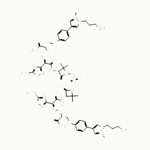 C[n+]1cc(-c2ccc(OC[C@H](O/N=C(\C(=O)N[C@@H]3C(=O)N(OS(=O)(=O)ON4C(=O)[C@@H](NC(=O)/C(=N\O[C@@H](COc5ccc(-c6cn(CCCN)[n+](C)c6)cc5)C(=O)O)c5nsc(N)n5)C4(C)C)C3(C)C)c3nsc(N)n3)C(=O)O)cc2)cn1CCCN